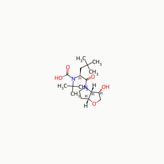 CC(C)(C)C[C@@H](C(=O)N1CC[C@H]2OC[C@H](O)[C@H]21)N(C(=O)O)C(C)(C)C